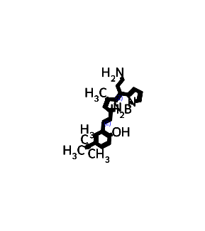 Bn1cccc1/C(CCN)=C1N=C(/C=C/c2cc(C(C)(C)C)ccc2O)C=C\1C